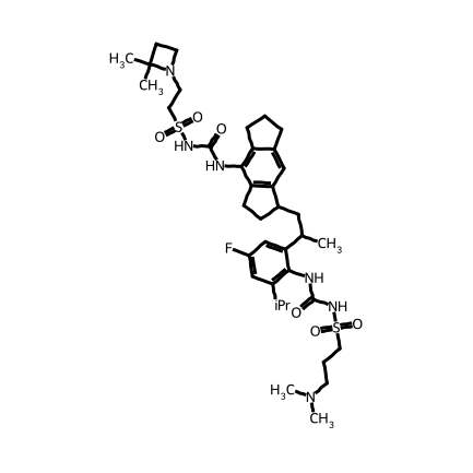 CC(C)c1cc(F)cc(C(C)CC2CCc3c2cc2c(c3NC(=O)NS(=O)(=O)CCN3CCC3(C)C)CCC2)c1NC(=O)NS(=O)(=O)CCCN(C)C